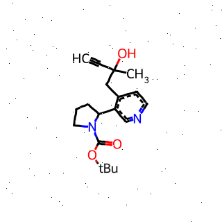 C#CC(C)(O)Cc1ccncc1C1CCCN1C(=O)OC(C)(C)C